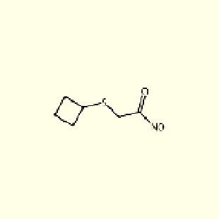 O=NC(=O)CSC1CCC1